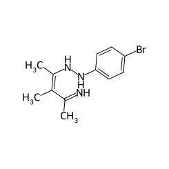 CC(=N)C(C)=C(C)NNc1ccc(Br)cc1